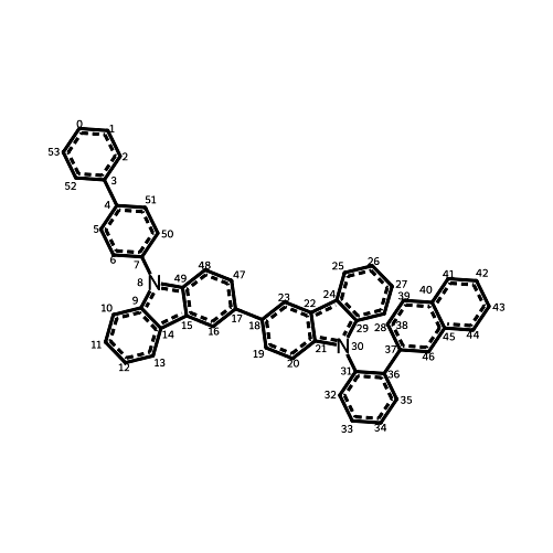 c1ccc(-c2ccc(-n3c4ccccc4c4cc(-c5ccc6c(c5)c5ccccc5n6-c5ccccc5-c5ccc6ccccc6c5)ccc43)cc2)cc1